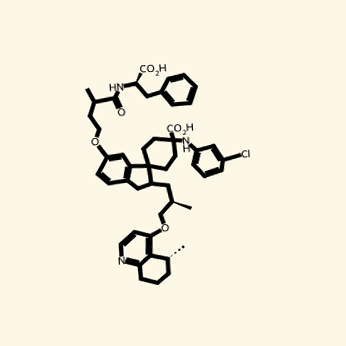 CC(CCOc1ccc2c(c1)C1(CCC(Nc3cccc(Cl)c3)(C(=O)O)CC1)C(C[C@@H](C)COc1ccnc3c1[C@H](C)CCC3)C2)C(=O)N[C@H](Cc1ccccc1)C(=O)O